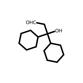 O=CCC(O)(C1CCCCC1)C1CCCCC1